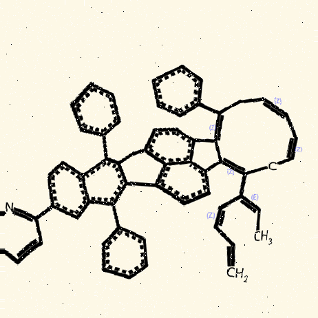 C=C\C=C/C(=C\C)C1=C2/C(=C(/c3ccccc3)C/C=C\C=C/C\1)c1ccc3c4c(ccc2c14)-c1c-3c(-c2ccccc2)c2ccc(C3=NCCC=C3)cc2c1-c1ccccc1